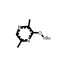 CCCCOc1nc(C)cnc1C